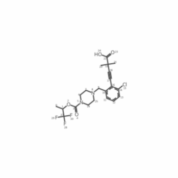 CC(OC(=O)N1CCN(Cc2cccc(Cl)c2C#CC(C)(C)C(=O)O)CC1)C(F)(F)F